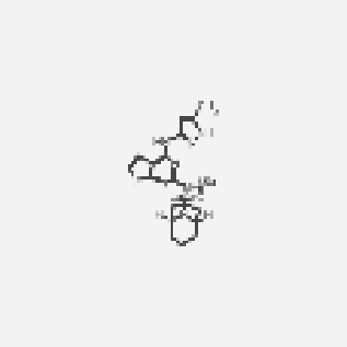 Cc1cc(Nc2nc(N[C@@H]3C[C@H]4CCC[C@@H](C3)N4C(=O)OC(C)(C)C)nc3sccc23)n[nH]1